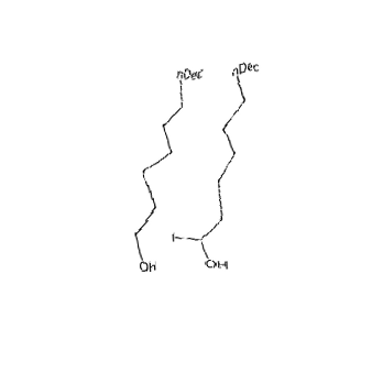 CCCCCCCCCCCCCCCC(O)I.CCCCCCCCCCCCCCCCO